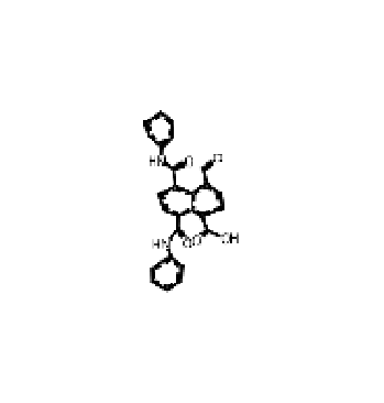 O=Cc1ccc(C(=O)O)c2c(C(=O)Nc3ccccc3)ccc(C(=O)Nc3ccccc3)c12